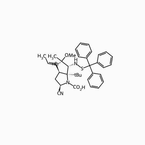 CC=C[C@@H]1C[C@H](C#N)N(C(=O)O)[C@@]1([C@@H](NSC(c1ccccc1)(c1ccccc1)c1ccccc1)[C@](C)(CCC)OC)C(C)(C)C